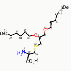 CCCCCCCCCCCCCCCOCC(CSCC(N)C(=O)O)OCCCCCCCCCCCCCCC